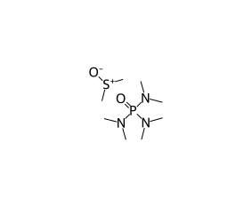 CN(C)P(=O)(N(C)C)N(C)C.C[S+](C)[O-]